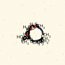 CO[C@H]1C[C@@H]2CC[C@@H](C)[C@@](O)(O2)C(=O)C(=O)N2CC[C@H]3C[C@H]2C(=O)C[C@@H](CC(=O)[C@H](C)/C=C(\C)[C@H](O)[C@@H](OC)C(=O)[C@H](C)C[C@H](C)/C=C/C=C/C=C/1C)C3C[C@@H]1CC[C@@H](O)[C@H](OC)C1